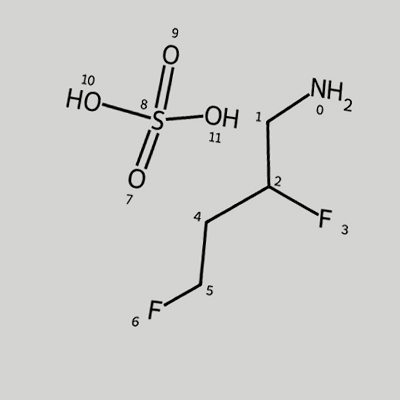 NCC(F)CCF.O=S(=O)(O)O